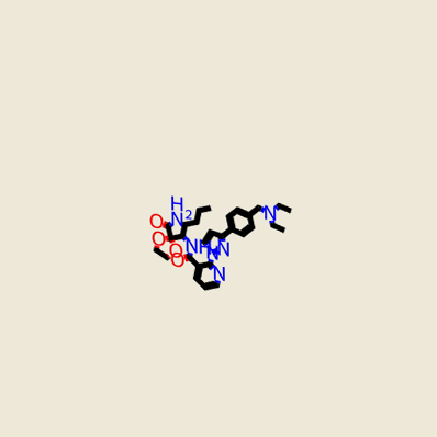 CCCCC(NC(=O)c1cccnc1-n1ccc(-c2ccc(CN(CC)CC)cc2)n1)C1(C(N)=O)OCCO1